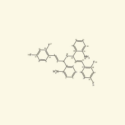 Nc1ccccc1C(C=Cc1ccc(F)cc1F)SC(C=Cc1ccc(F)cc1F)c1ccccc1N